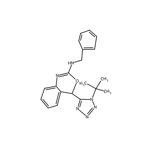 CC(C)(C)n1nnnc1C1OC(NCc2ccccc2)=Nc2ccccc21